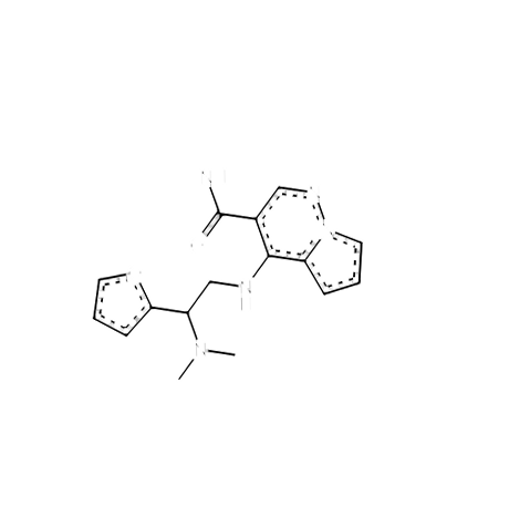 CN(C)C(CNc1c(C(N)=O)cnn2cccc12)c1ccco1